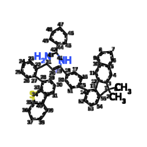 CC1(C)c2cc3ccccc3cc2-c2c(-c3ccc(/C(=C/Cc4ccccc4-c4cccc5c4sc4ccccc45)NC(N)c4ccccc4)cc3)cccc21